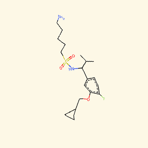 CC(C)C(NS(=O)(=O)CCCCCN)c1ccc(F)c(OCC2CC2)c1